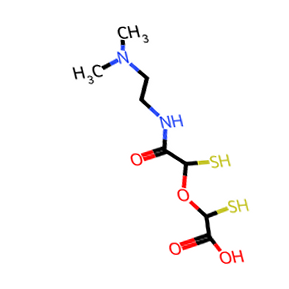 CN(C)CCNC(=O)C(S)OC(S)C(=O)O